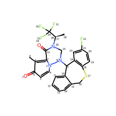 Cc1c2n(ccc1=O)N(C1c3ccccc3CSc3ccc(F)cc31)CN([C@H](C)C(F)(F)F)C2=O